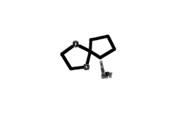 CCC[C@H]1CCCC12OCCO2